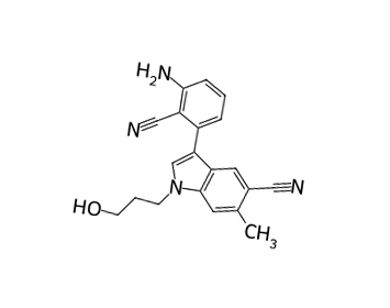 Cc1cc2c(cc1C#N)c(-c1cccc(N)c1C#N)cn2CCCO